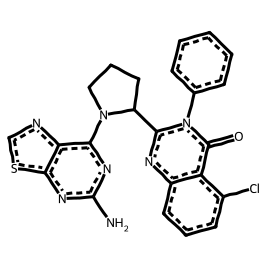 Nc1nc(N2CCCC2c2nc3cccc(Cl)c3c(=O)n2-c2ccccc2)c2ncsc2n1